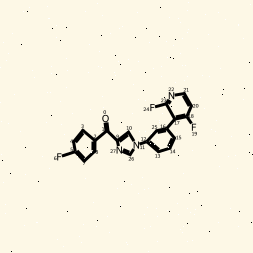 O=C(c1ccc(F)cc1)c1cn(-c2cccc(-c3c(F)ccnc3F)c2)cn1